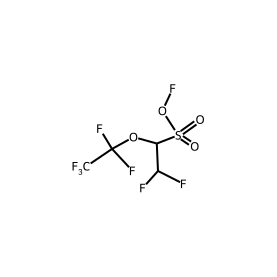 O=S(=O)(OF)C(OC(F)(F)C(F)(F)F)C(F)F